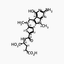 CN(Cc1cn(C)c2nc(N)nc(O)c12)c1ccc(C(=O)N[C@@H](CCC(=O)O)C(=O)O)s1